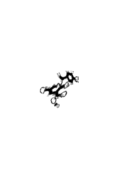 COC(=O)c1cc(Cl)cn(C(C)c2ccc(Cl)cc2)c1=O